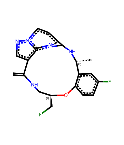 C=C1NC[C@H](CF)Oc2ccc(F)cc2[C@@H](C)Nc2ccn3ncc1c3n2